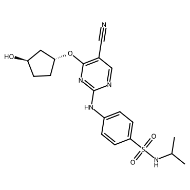 CC(C)NS(=O)(=O)c1ccc(Nc2ncc(C#N)c(O[C@@H]3CC[C@@H](O)C3)n2)cc1